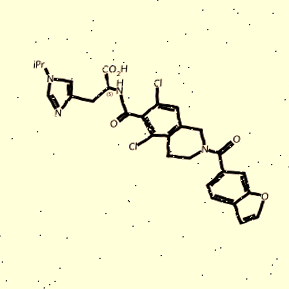 CC(C)n1cnc(C[C@H](NC(=O)c2c(Cl)cc3c(c2Cl)CCN(C(=O)c2ccc4ccoc4c2)C3)C(=O)O)c1